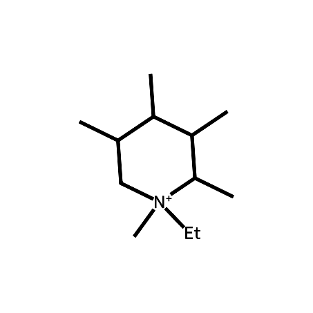 CC[N+]1(C)CC(C)C(C)C(C)C1C